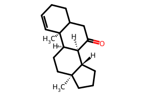 C[C@@]12CCC[C@H]1[C@@H]1C(=O)CC3CCC=C[C@]3(C)[C@@H]1CC2